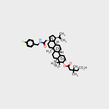 C=C(C)[C@@H]1CC[C@]2(CC(=O)NCc3ccc(F)cc3)CC[C@]3(C)[C@H](CC[C@@H]4[C@@]5(C)CC[C@H](OC(=O)CC(C)(C)CC(=O)O)C(C)(C)[C@@H]5CC[C@]43C)[C@@H]12